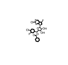 O=C(O[C@H](c1ccc(Cl)c(F)c1)[C@H]1O[C@@H](n2cc(F)c3cnc(Cl)nc32)[C@H](O)[C@@H]1O)c1ccccc1